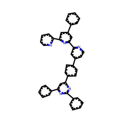 c1ccc(-c2cc(-c3ccccn3)nc(-c3cc(-c4ccc(-c5cc(-c6ccccc6)nc(-c6ccccc6)n5)cc4)ccn3)c2)cc1